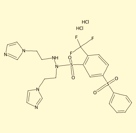 Cl.Cl.O=S(=O)(c1ccccc1)c1ccc(C(F)(F)F)c(S(=O)(=O)N(CCn2ccnc2)NCCn2ccnc2)c1